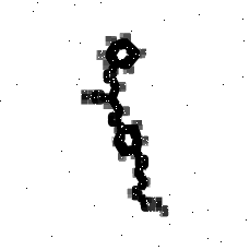 CSCCOc1ccc(OCC(O)COc2ccccc2)cc1